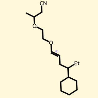 CCC(C/C=C/OCCOC(C)CC#N)C1CCCCC1